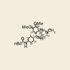 CCCCC(=O)Nc1ccc(C2=N[C@@H]3CCN(C)C[C@@H]3c3cc(OC)c(OC)cc32)cc1